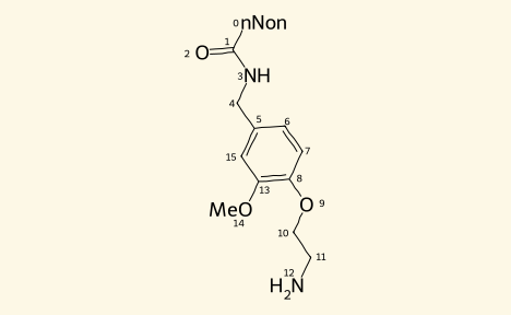 CCCCCCCCCC(=O)NCc1ccc(OCCN)c(OC)c1